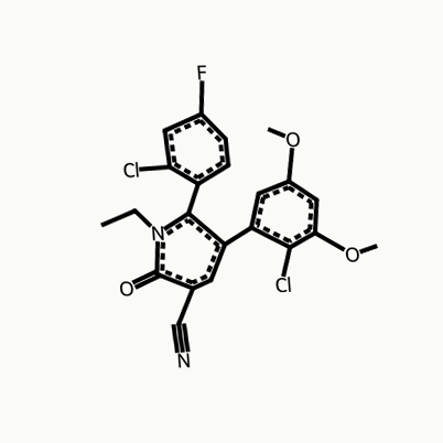 CCn1c(-c2ccc(F)cc2Cl)c(-c2cc(OC)cc(OC)c2Cl)cc(C#N)c1=O